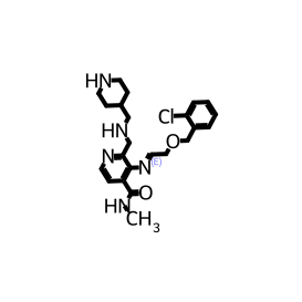 CNC(=O)c1ccnc(CNCC2CCNCC2)c1/N=C/COCc1ccccc1Cl